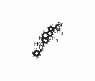 C[C@]12CCC3C(CC[C@H]4C[C@@](O)(COCc5ccccc5)CC[C@]34C)C1CC[C@@H]2C(=O)CBr